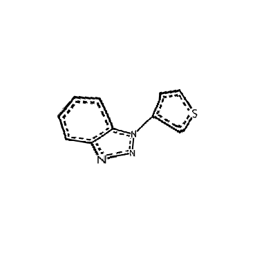 c1ccc2c(c1)nnn2-c1ccsc1